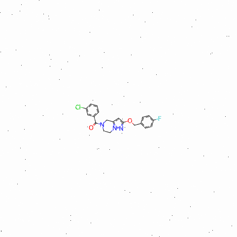 O=C(c1cccc(Cl)c1)N1CCn2nc(OCc3ccc(F)cc3)cc2C1